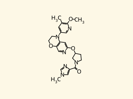 COc1ncc(N2CCOc3cnc(OC4CCN(C(=O)c5cn(C)cn5)C4)cc32)cc1C